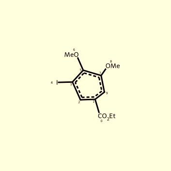 CCOC(=O)c1cc(I)c(OC)c(OC)c1